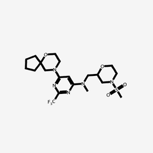 CN(CC1CN(S(C)(=O)=O)CCO1)c1cc(N2CCOC3(CCCC3)C2)nc(C(F)(F)F)n1